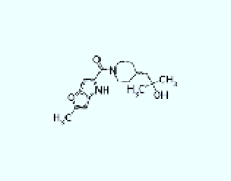 Cc1cc2[nH]c(C(=O)N3CCC(CC(C)(C)O)CC3)cc2o1